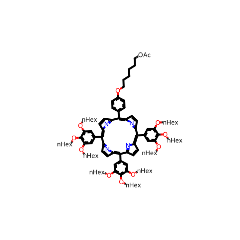 CCCCCCOc1cc(C2=C3C=CC(=N3)C(c3cc(OCCCCCC)c(OCCCCCC)c(OCCCCCC)c3)=C3C=CC(=N3)C(c3cc(OCCCCCC)c(OCCCCCC)c(OCCCCCC)c3)=C3C=CC(=N3)C(c3ccc(OCCCCCCOC(C)=O)cc3)=C3C=CC2=N3)cc(OCCCCCC)c1OCCCCCC